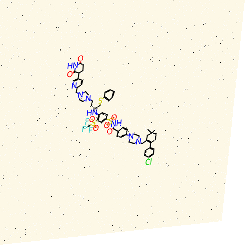 CC1(C)CCC(c2ccc(Cl)cc2)=C(CN2CCN(c3ccc(C(=O)NS(=O)(=O)c4ccc(N[C@H](CCN5CCN(Cc6ccc(C7CCC(=O)NC7=O)cn6)CC5)CSc5ccccc5)c(S(=O)(=O)C(F)(F)F)c4)cc3)CC2)C1